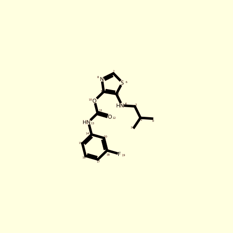 CC(C)CNc1scnc1OC(=O)Nc1cccc(F)c1